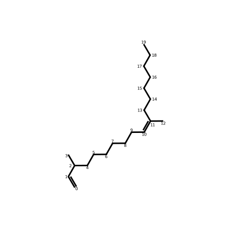 C=CC(C)CCCCCCC=C(C)CCCCCCC